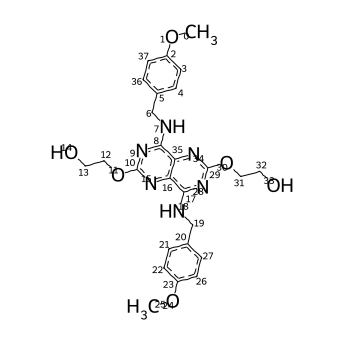 COc1ccc(CNc2nc(OCCO)nc3c(NCc4ccc(OC)cc4)nc(OCCO)nc23)cc1